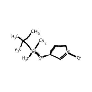 CC(C)(C)[Si](C)(C)O[C@@H]1C=[N+]([O-])CC1